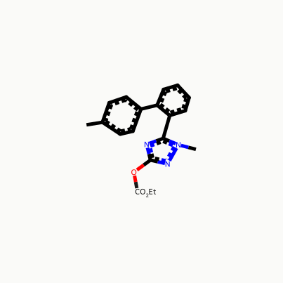 CCOC(=O)Oc1nc(-c2ccccc2-c2ccc(C)cc2)n(C)n1